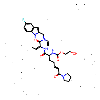 C=CN(Cc1cc2cc(F)ccc2[nH]1)C(=O)/C(=C\C)NC(=O)[C@H](CC/C=C/C(=O)N1CCCC1)NC(=O)OCCO